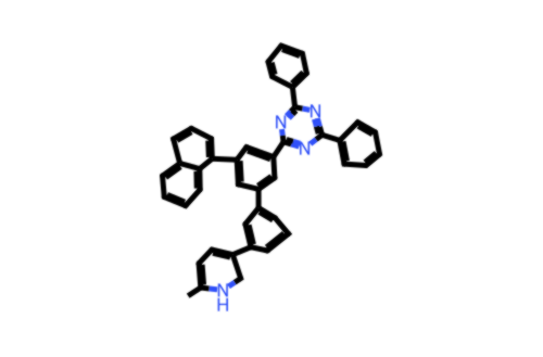 CC1=CC=C(c2cccc(-c3cc(-c4nc(-c5ccccc5)nc(-c5ccccc5)n4)cc(-c4cccc5ccccc45)c3)c2)CN1